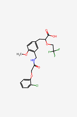 COc1ccc(CC(OCC(F)(F)F)C(=O)O)cc1CNC(=O)COc1ccccc1Cl